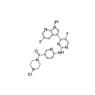 CCN1CCN(C(=O)c2ccc(Nc3ncc(F)c(-c4cn(C(C)C)c5ncc(F)cc45)n3)nc2)CC1